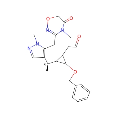 C[C@@H](c1cnn(C)c1CC1=NOCC(=O)N1C)C1C(CC=O)C1OCc1ccccc1